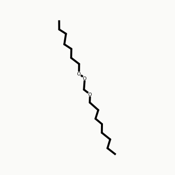 CCCCCCCCOCOOCCCCCCC